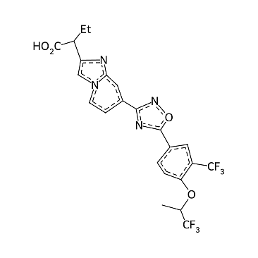 CCC(C(=O)O)c1cn2ccc(-c3noc(-c4ccc(OC(C)C(F)(F)F)c(C(F)(F)F)c4)n3)cc2n1